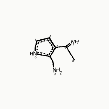 CC(=N)c1cc[nH]c1N